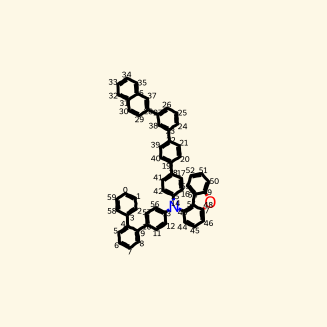 c1ccc(-c2ccccc2-c2ccc(N(c3ccc(-c4ccc(-c5cccc(-c6ccc7ccccc7c6)c5)cc4)cc3)c3cccc4oc5ccccc5c34)cc2)cc1